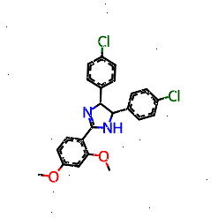 COc1ccc(C2=NC(c3ccc(Cl)cc3)C(c3ccc(Cl)cc3)N2)c(OC)c1